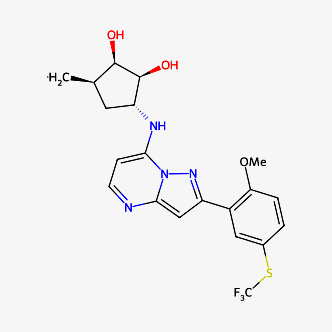 [CH2][C@@H]1C[C@@H](Nc2ccnc3cc(-c4cc(SC(F)(F)F)ccc4OC)nn23)[C@H](O)[C@@H]1O